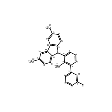 Cc1cccc(-c2cccc(-n3c4ccc(C(C)(C)C)cc4c4cc(C(C)(C)C)ccc43)c2C(C)(C)C)c1